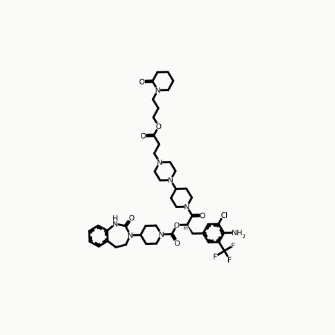 Nc1c(Cl)cc(C[C@@H](OC(=O)N2CCC(N3CCc4ccccc4NC3=O)CC2)C(=O)N2CCC(N3CCN(CCC(=O)OCCCN4CCCCC4=O)CC3)CC2)cc1C(F)(F)F